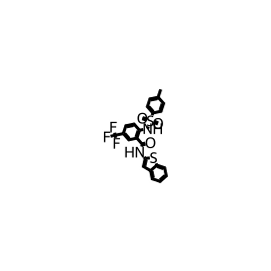 Cc1ccc(S(=O)(=O)Nc2ccc(C(F)(F)F)cc2C(=O)Nc2cc3ccccc3s2)cc1